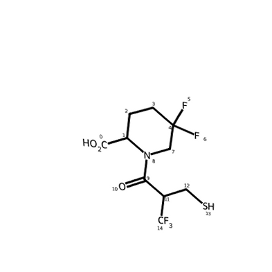 O=C(O)C1CCC(F)(F)CN1C(=O)C(CS)C(F)(F)F